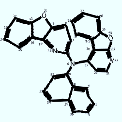 c1ccc2c(N(c3ccc4oc5ccccc5c4n3)c3ccnc4oc5ccccc5c34)cccc2c1